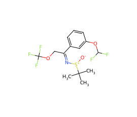 CC(C)(C)[S+]([O-])/N=C(/COC(F)(F)F)c1cccc(OC(F)F)c1